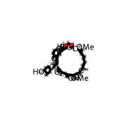 CO[C@H]1C[C@@H]2CC[C@@H](C)[C@@](O)(O2)C(=O)C(=O)N2CCCC[C@H]2C(=O)O[C@H]([C@H](C)C[C@H]2CC[C@@H](O)[C@H](C)C2)CC(=O)[C@H](C)/C=C(\C)[C@@H](O)[C@@H](OC)C(=O)[C@H](C)C[C@H](C)/C=C/C=C/C=C/1C